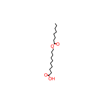 CCCCCCCC(=O)OCCCCCCCCCC(=O)O